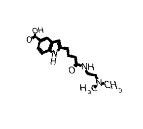 CN(C)CCNC(=O)CCCc1cc2cc(C(=O)O)ccc2[nH]1